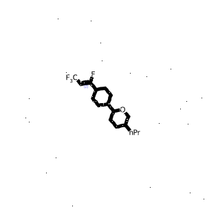 CCCC1CCC(C2CCC(/C(F)=C/C(F)(F)F)CC2)OC1